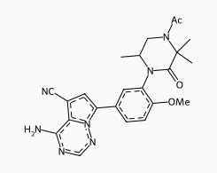 COc1ccc(-c2cc(C#N)c3c(N)ncnn23)cc1N1C(=O)C(C)(C)N(C(C)=O)CC1C